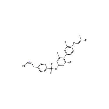 CC/C=C\Cc1ccc(C(F)(F)Oc2cc(F)c(-c3ccc(OC=C(F)F)c(F)c3)c(F)c2)cc1